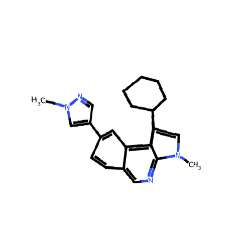 Cn1cc(-c2ccc3cnc4c(c(C5CCCCC5)cn4C)c3c2)cn1